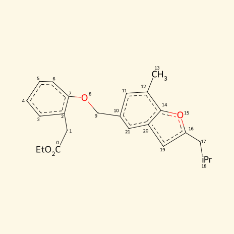 CCOC(=O)Cc1ccccc1OCc1cc(C)c2oc(CC(C)C)cc2c1